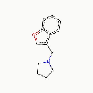 c1ccc2c(CN3CCCC3)coc2c1